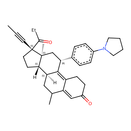 CC#C[C@]1(C(=O)CC)CC[C@H]2[C@@H]3CC(C)C4=CC(=O)CCC4=C3[C@@H](c3ccc(N4CCCC4)cc3)C[C@@]21C